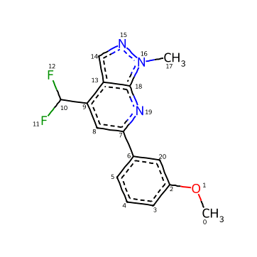 COc1cccc(-c2cc(C(F)F)c3cnn(C)c3n2)c1